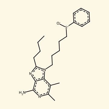 CCCCc1nc2c(N)nc(C)c(C)c2n1CCCCC[S+]([O-])c1ccccc1